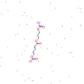 O=C(CCCCO[N+](=O)[O-])OCCCO[N+](=O)[O-]